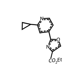 CCOC(=O)c1coc(-c2ccnc(C3CC3)c2)n1